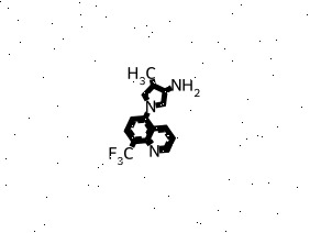 CC1CN(c2ccc(C(F)(F)F)c3ncccc23)CC1N